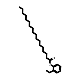 CCCCCCCCCCCCCCCCCC(=O)Oc1ccccc1CC